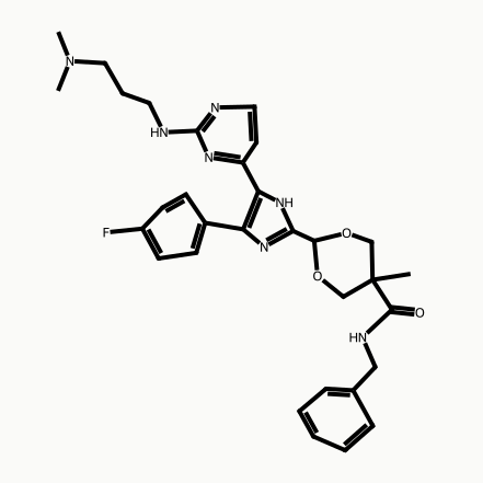 CN(C)CCCNc1nccc(-c2[nH]c(C3OCC(C)(C(=O)NCc4ccccc4)CO3)nc2-c2ccc(F)cc2)n1